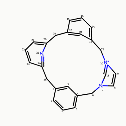 c1cc2cc(c1)Cn1cc[n+](c1)Cc1cccc(c1)Cc1cccc(n1)C2